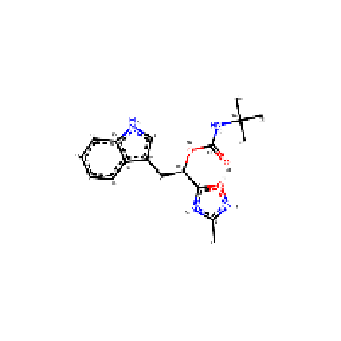 Cc1noc([C@@H](Cc2c[nH]c3ccccc23)OC(=O)NC(C)(C)C)n1